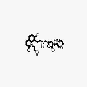 COCCn1c(=O)ccc2ccc(F)c(CCNC[C@@H]3CN(C4=CN=CCN4)C(=O)O3)c21